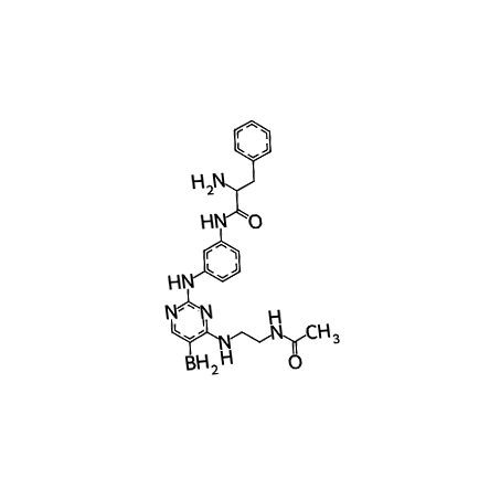 Bc1cnc(Nc2cccc(NC(=O)C(N)Cc3ccccc3)c2)nc1NCCNC(C)=O